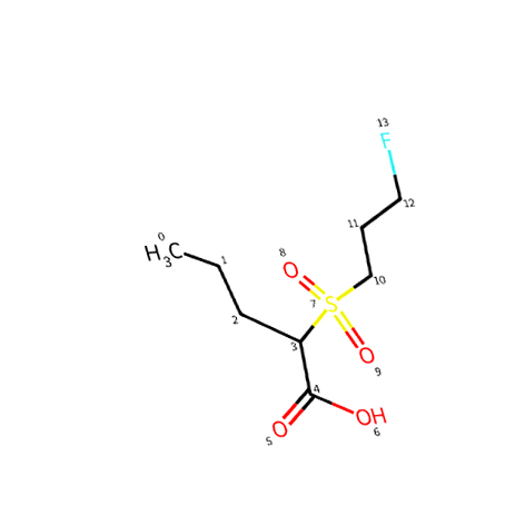 CCCC(C(=O)O)S(=O)(=O)CCCF